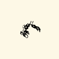 Cc1c(-c2cc3cc(Nc4ccc5c(c4)CCN(C)C5)ncc3c(Cl)c2F)cnc2c1N(C(=O)OC(C)(C)C)CCO2